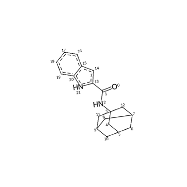 O=C(NC12CC3CC(CC(C3)C1)C2)c1cc2ccccc2[nH]1